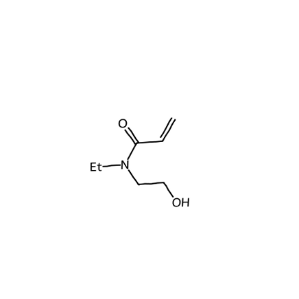 C=CC(=O)N(CC)CCO